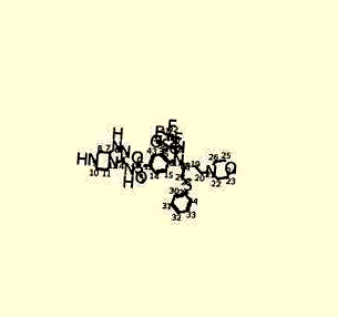 O=S(=O)(NC1=NNC2CNCCN12)c1ccc(N[C@H](CCN2CCOCC2)CSc2ccccc2)c(S(=O)(=O)C(F)(F)F)c1